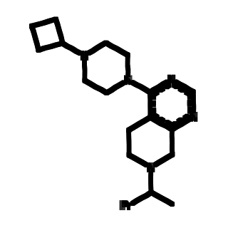 CC(C)C(C)N1CCc2c(ncnc2N2CCN(C3CCC3)CC2)C1